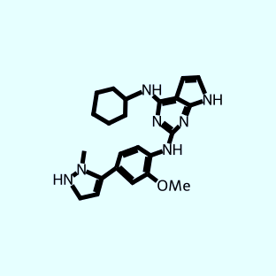 COc1cc(C2=CCNN2C)ccc1Nc1nc(NC2CCCCC2)c2cc[nH]c2n1